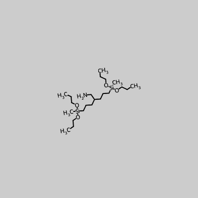 CCCO[Si](C)(CCCC(CN)CCC[Si](C)(OCCC)OCCC)OCCC